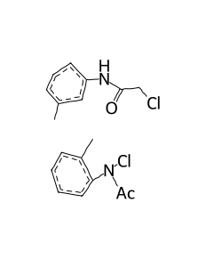 CC(=O)N(Cl)c1ccccc1C.Cc1cccc(NC(=O)CCl)c1